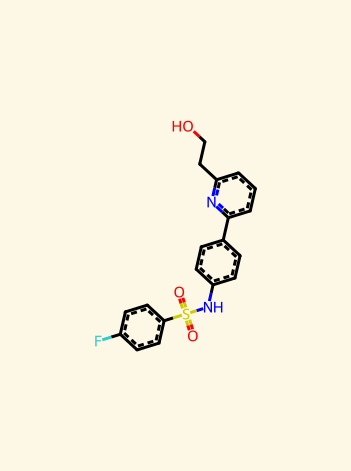 O=S(=O)(Nc1ccc(-c2cccc(CCO)n2)cc1)c1ccc(F)cc1